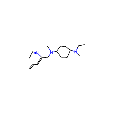 C=C/C=C(CN(C)C1CCC(N(C)CC)CC1)\N=C/C